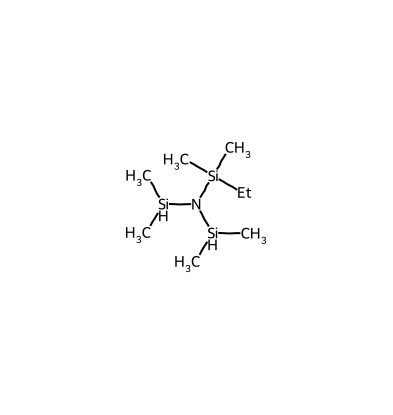 CC[Si](C)(C)N([SiH](C)C)[SiH](C)C